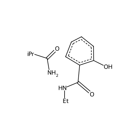 CC(C)C(N)=O.CCNC(=O)c1ccccc1O